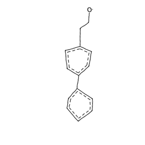 [O]CCc1ccc(-c2ccccc2)cc1